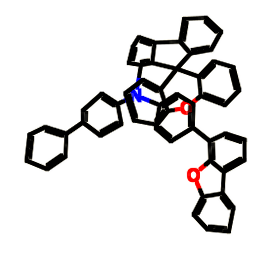 c1ccc(-c2ccc(N(c3ccc(-c4cccc5c4oc4ccccc45)cc3)c3cccc4c3C3(c5ccccc5Oc5ccccc53)c3ccccc3-4)cc2)cc1